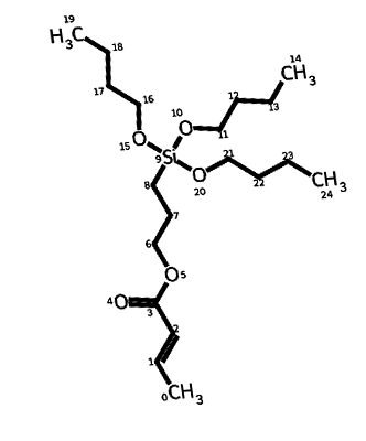 CC=CC(=O)OCCC[Si](OCCCC)(OCCCC)OCCCC